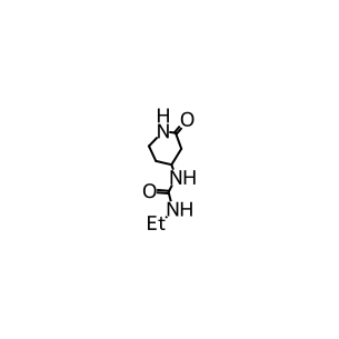 CCNC(=O)NC1CCNC(=O)C1